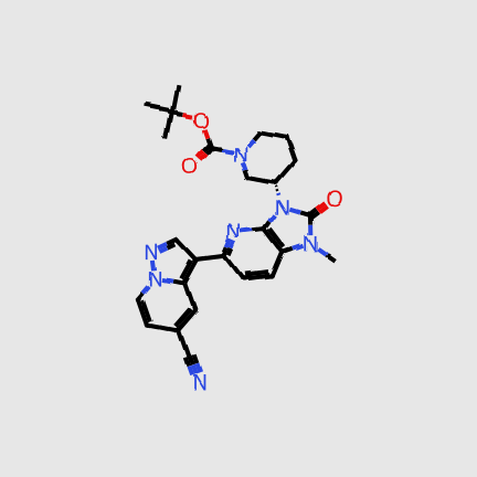 Cn1c(=O)n([C@H]2CCCN(C(=O)OC(C)(C)C)C2)c2nc(-c3cnn4ccc(C#N)cc34)ccc21